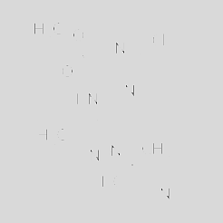 COC(=O)c1nc(Cl)c(C2CC2)nc1Nc1cn(C(C)(C)C#N)nc1C